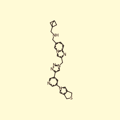 c1cc2nc(Cn3cc(-c4cncc(-n5cc6c(c5)CSC6)c4)nn3)cn2cc1CNCC12CC(C1)C2